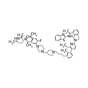 C=Cc1cc(F)c(N2CCN(CC3CCN(CCCCc4cccc(-c5ccc(N6CCc7cccc(C(=C)Nc8nc9ccccc9s8)c7C6)nc5C=C)c4C)CC3)CC2)cc1C(=C)N(C)C1CCC(=C)NC1=C